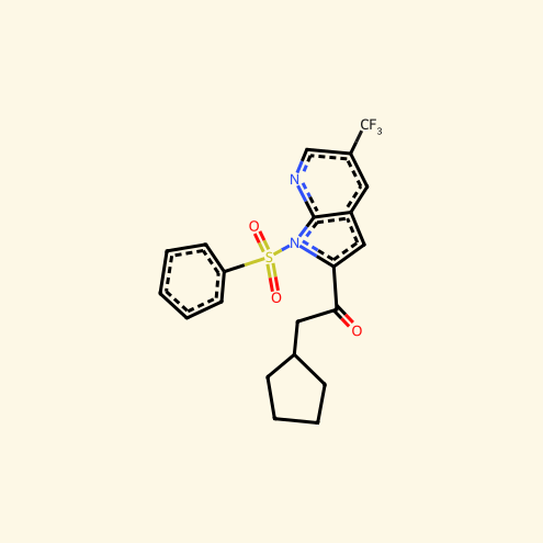 O=C(CC1CCCC1)c1cc2cc(C(F)(F)F)cnc2n1S(=O)(=O)c1ccccc1